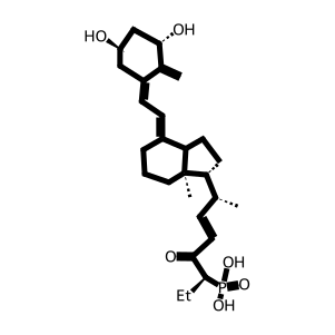 C=C1/C(=C\C=C2/CCC[C@@]3(C)C2CC[C@@H]3[C@H](C)/C=C/C(=O)[C@H](CC)P(=O)(O)O)C[C@@H](O)C[C@@H]1O